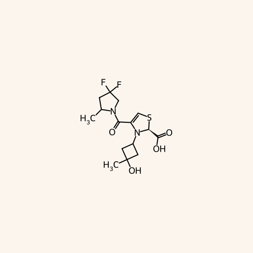 CC1CC(F)(F)CN1C(=O)C1=CS[C@@H](C(=O)O)N1C1CC(C)(O)C1